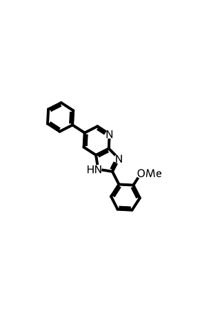 COc1ccccc1-c1nc2ncc(-c3ccccc3)cc2[nH]1